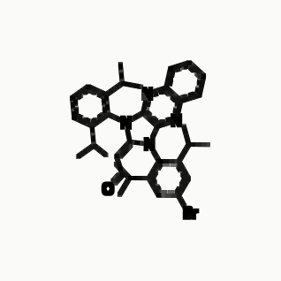 CC(C)c1cccc(C(C)C)c1N1/C(=C/C=O)N(c2c(C(C)C)cc(Br)cc2C(C)C)c2nc3ccccc3nc21